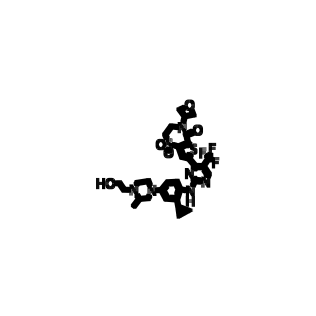 CC1CN(c2ccc(Nc3ncc(C(F)(F)F)c(-c4cc5c(s4)C(=O)N(C4COC4)CCS5(=O)=O)n3)c(C3CC3)c2)CCN1CCO